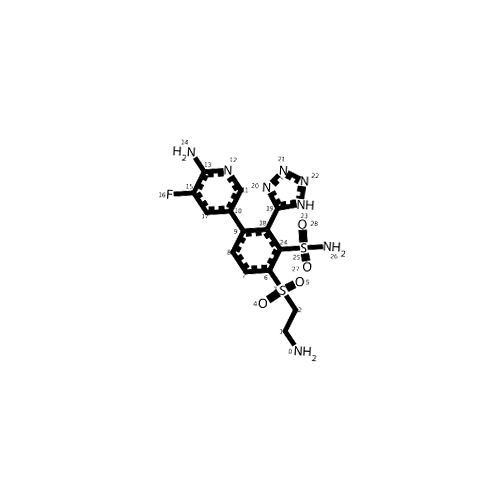 NCCS(=O)(=O)c1ccc(-c2cnc(N)c(F)c2)c(-c2nnn[nH]2)c1S(N)(=O)=O